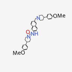 COc1ccc(C2CCN(Cc3ccc4cc(NC(=O)N5CCC(c6ccc(OC)cc6)CC5)ccc4c3)CC2)cc1